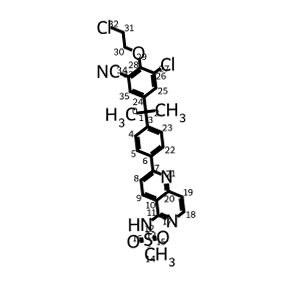 CC(C)(c1ccc(-c2ccc3c(NS(C)(=O)=O)nccc3n2)cc1)c1cc(Cl)c(OCCCl)c(C#N)c1